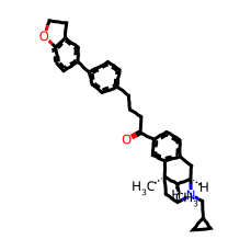 C[C@H]1[C@H]2Cc3ccc(C(=O)CCCc4ccc(-c5ccc6c(c5)CCO6)cc4)cc3[C@]1(C)CCN2CC1CC1